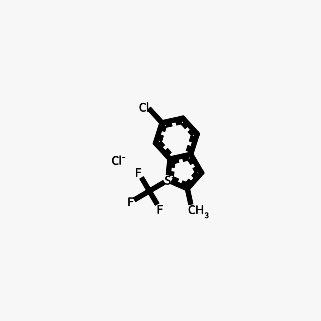 Cc1cc2ccc(Cl)cc2[s+]1C(F)(F)F.[Cl-]